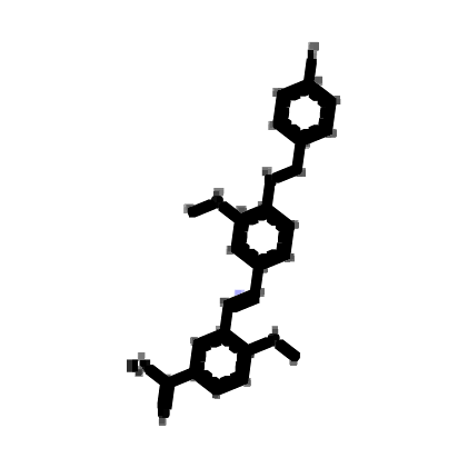 COc1ccc(C(N)=O)cc1/C=C/c1ccc(OCc2ccc(F)cc2)c(OC)c1